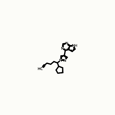 C#CCCCC(C1CCCC1)n1cc(-c2ncnc3[nH]ccc23)cn1